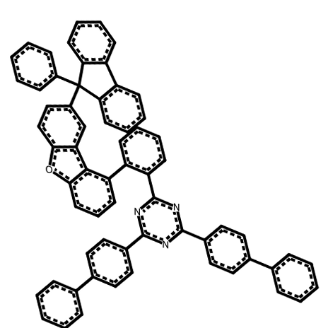 c1ccc(-c2ccc(-c3nc(-c4ccc(-c5ccccc5)cc4)nc(-c4ccccc4-c4cccc5oc6ccc(C7(c8ccccc8)c8ccccc8-c8ccccc87)cc6c45)n3)cc2)cc1